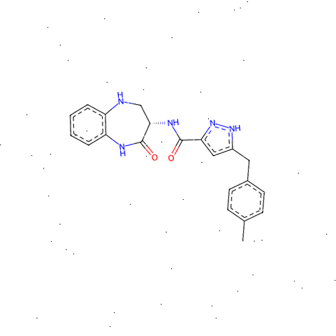 Cc1ccc(Cc2cc(C(=O)N[C@H]3CNc4ccccc4NC3=O)n[nH]2)cc1